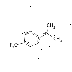 C[SH](C)c1ccc(C(F)(F)F)nc1